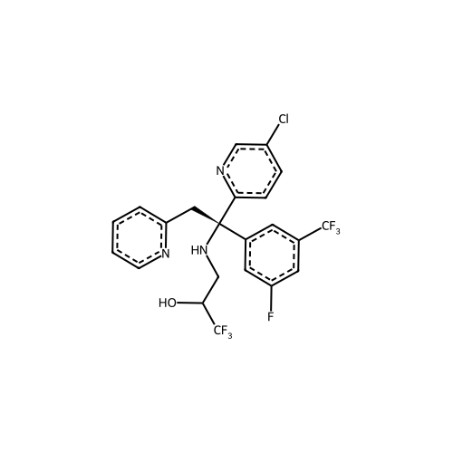 OC(CN[C@@](Cc1ccccn1)(c1cc(F)cc(C(F)(F)F)c1)c1ccc(Cl)cn1)C(F)(F)F